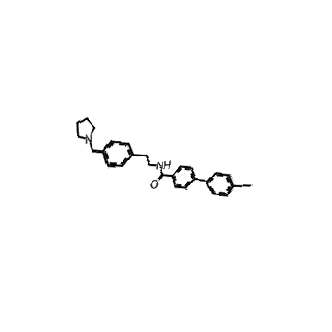 Cc1ccc(-c2ccc(C(=O)NCCc3ccc(CN4CCCC4)cc3)cc2)cc1